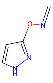 C=NOc1cc[nH]n1